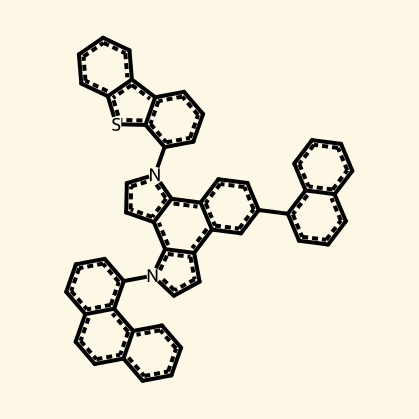 c1ccc2c(-c3ccc4c(c3)c3ccn(-c5cccc6ccc7ccccc7c56)c3c3ccn(-c5cccc6c5sc5ccccc56)c43)cccc2c1